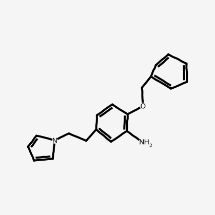 Nc1cc(CCn2cccc2)ccc1OCc1ccccc1